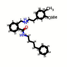 COc1cc(CCNCc2ccccc2C(=O)NCCCCc2ccccc2)ccc1C